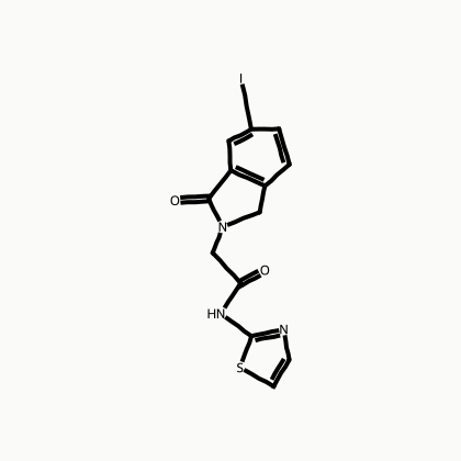 O=C(CN1Cc2ccc(I)cc2C1=O)Nc1nccs1